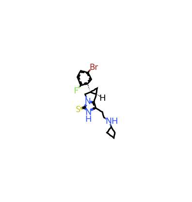 Fc1ccc(Br)cc1[C@]12C[C@H]1c1c(CCNC3CCC3)[nH]c(=S)n1C2